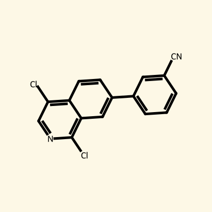 N#Cc1cccc(-c2ccc3c(Cl)cnc(Cl)c3c2)c1